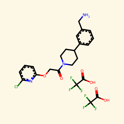 NCc1cccc(C2CCN(C(=O)COc3cccc(Cl)n3)CC2)c1.O=C(O)C(F)(F)F.O=C(O)C(F)(F)F